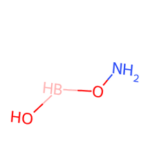 NOBO